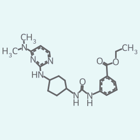 CCOC(=O)c1cccc(NC(=O)NC2CCC(Nc3nccc(N(C)C)n3)CC2)c1